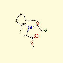 COC(=O)C(C)N(C(=O)CCl)C1=C(C)CCCC1C